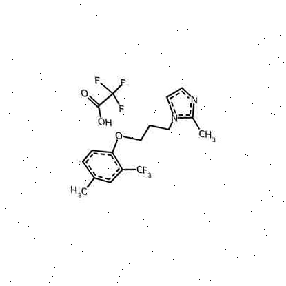 Cc1[c]cc(OCCCn2ccnc2C)c(C(F)(F)F)c1.O=C(O)C(F)(F)F